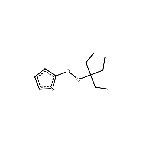 CCC(CC)(CC)OOc1cccs1